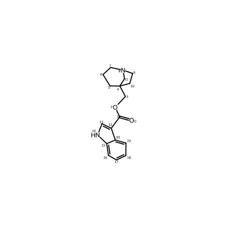 O=C(OCC12CCCN(CC1)C2)c1c[nH]c2ccccc12